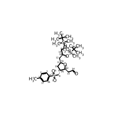 Cc1ccc(S(=O)(=O)C[C@@H]2C[C@@H](C[C@@H](CO[Si](C)(C)C(C)(C)C)O[Si](C)(C)C(C)(C)C)O[C@H]2CC=O)cc1